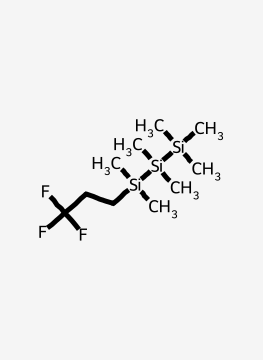 C[Si](C)(C)[Si](C)(C)[Si](C)(C)CCC(F)(F)F